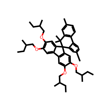 CCC(C)COc1cc2c(cc1OCC(C)CC)C1(c3cc(C)ccc3-c3ccc(C)cc3C1(C)C)c1cc(OCC(C)CC)c(OCC(C)CC)cc1-2